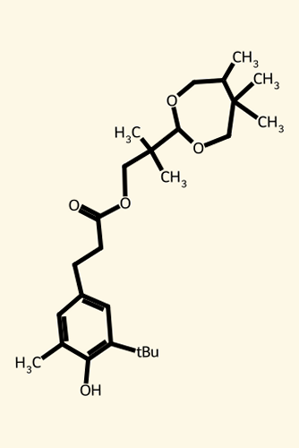 Cc1cc(CCC(=O)OCC(C)(C)C2OCC(C)C(C)(C)CO2)cc(C(C)(C)C)c1O